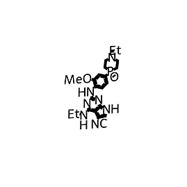 CCNc1nc(Nc2ccc(P3(=O)CCN(CC)CC3)cc2OC)nc2[nH]cc(C#N)c12